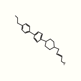 CCCc1ccc(-c2ccc(C3CCC(C/C=C/CF)CC3)cc2)cc1